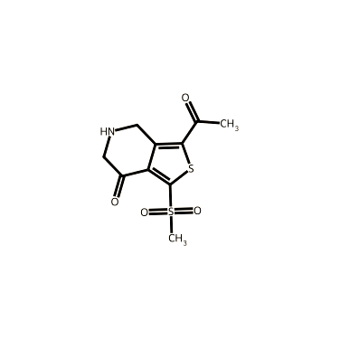 CC(=O)c1sc(S(C)(=O)=O)c2c1CNCC2=O